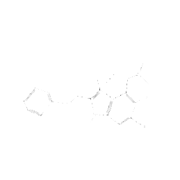 CCOC(=O)c1c(CSc2ccccc2)n(C)c2cc(Br)c(O)c(CN(C)C)c12.O